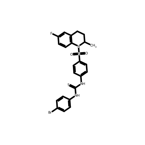 CC1CCc2cc(F)ccc2N1S(=O)(=O)c1ccc(NC(=S)Nc2ccc(Br)cc2)cc1